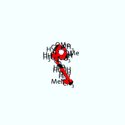 CNN(C)Cc1cc2ccccc2n1CCC(=O)NCCNC(=O)[C@H](O)[C@H](O)C(=O)NCCOCCOCCC(=O)N(C)[C@@H](C)C(=O)O[C@H]1CC(=O)N(C)c2cc(cc(OC)c2Cl)C/C(C)=C/C=C/[C@@H](OC)[C@@]2(O)C[C@H](OC(=O)N2)[C@@H](C)[C@@H]2O[C@]12C